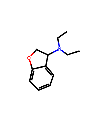 CCN(CC)C1[C]Oc2ccccc21